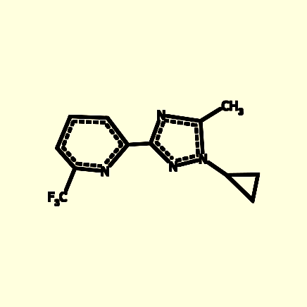 Cc1nc(-c2cccc(C(F)(F)F)n2)nn1C1CC1